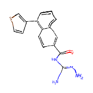 NN=C(N)NC(=O)c1ccc2c(-c3ccsc3)cccc2c1